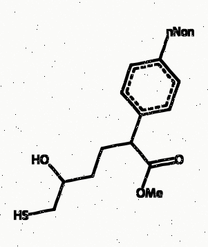 CCCCCCCCCc1ccc(C(CCC(O)CS)C(=O)OC)cc1